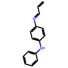 C=C/C=N/c1ccc(Nc2ccccc2)cc1